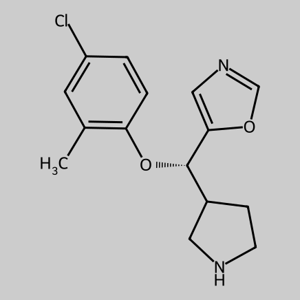 Cc1cc(Cl)ccc1O[C@H](c1cnco1)C1CCNC1